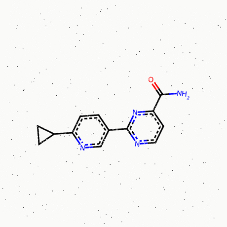 NC(=O)c1ccnc(-c2ccc(C3CC3)nc2)n1